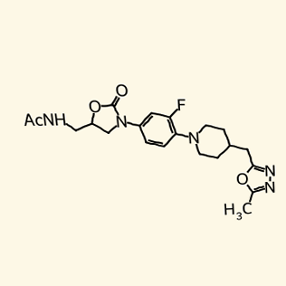 CC(=O)NCC1CN(c2ccc(N3CCC(Cc4nnc(C)o4)CC3)c(F)c2)C(=O)O1